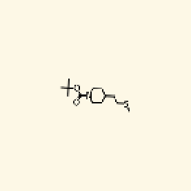 CSCCC1CCN(C(=O)OC(C)(C)C)CC1